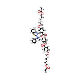 C=CC(=O)OCCCCCCOc1ccc(C(=O)Oc2ccc(OC(=O)c3ccc(OCCCCCCOC(=O)C=C)cc3)c(/C=N/N(c3nc4ccccc4s3)C3CCCCC3)c2)cc1